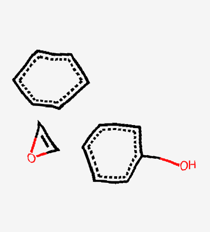 C1=CO1.Oc1ccccc1.c1ccccc1